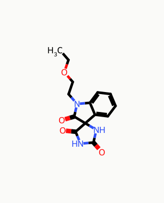 CCOCCN1C(=O)C2(NC(=O)NC2=O)c2ccccc21